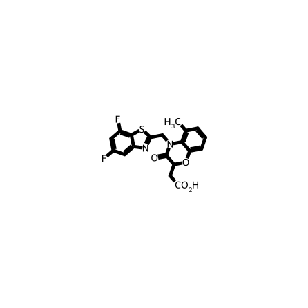 Cc1cccc2c1N(Cc1nc3cc(F)cc(F)c3s1)C(=O)C(CC(=O)O)O2